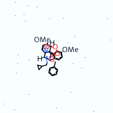 COc1ccc2c3c1O[C@H]1C4(OC)C=C[C@]5([C@@H](C2)N(CC2CC2)CC[C@]315)N(C(=O)OCc1ccccc1)O4